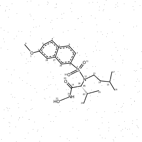 COc1ccc2ccc(S(=O)(=O)N(CCC(C)C)[C@@H](C(=O)NO)C(C)C)cc2c1